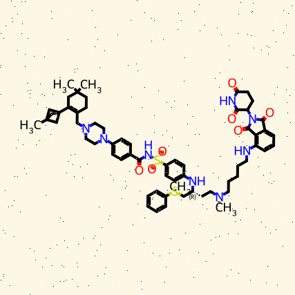 Cc1cc(S(=O)(=O)NC(=O)c2ccc(N3CCN(CC4=C(C56CC(C)(C5)C6)CC(C)(C)CC4)CC3)cc2)ccc1N[C@H](CCN(C)CCCCCNc1cccc2c1C(=O)N(C1CCC(=O)NC1=O)C2=O)CSc1ccccc1